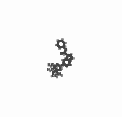 CCC1(C)OB(c2cnc3ccn(C(=O)OC4CCCCC4)c3c2)OC1(C)C